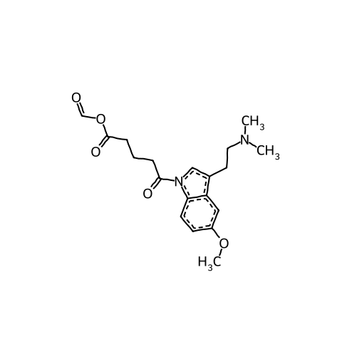 COc1ccc2c(c1)c(CCN(C)C)cn2C(=O)CCCC(=O)OC=O